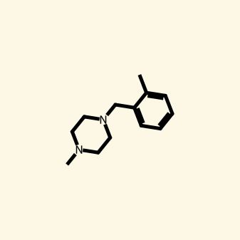 Cc1ccccc1CN1CCN(C)CC1